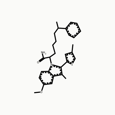 COc1ccc2c(c1)c(C)c(-c1cc(C)cs1)n2C(CCCCC(C)c1ccccc1)C(N)=O